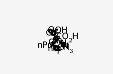 CCCC(CCC)N(C(=O)CN1C[C@H](c2cc(CO)c3c(c2)OCO3)[C@@H](C(=O)O)[C@@H]1CCc1ccncn1)c1ccc(F)c(C)c1